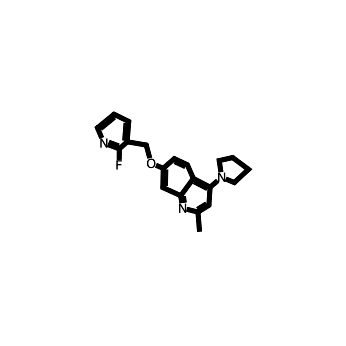 Cc1cc(N2CCCC2)c2ccc(OCc3cccnc3F)cc2n1